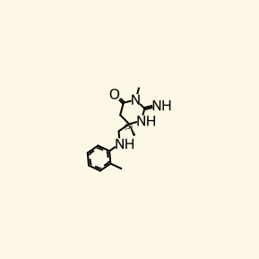 Cc1ccccc1NC[C@]1(C)CC(=O)N(C)C(=N)N1